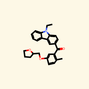 CCn1c2ccccc2c2cc(C(=O)c3cc(OCC4CCCO4)ccc3C)ccc21